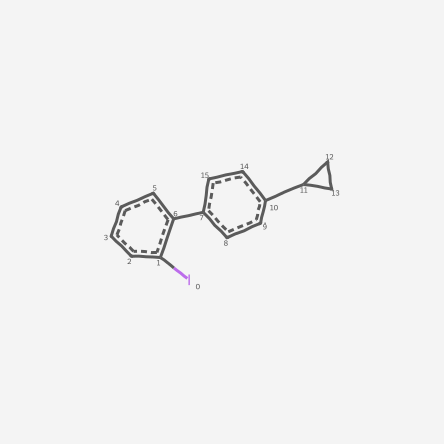 Ic1ccccc1-c1c[c]c(C2CC2)cc1